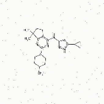 CC1CCN(c2nc(Nc3cc(C4CC4)[nH]n3)c3c(n2)C(C)(C)CC3)CC1